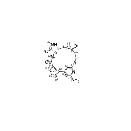 CNC(=O)[C@@H]1CCNC(=O)CCSc2cc(nc(N)n2)-c2cc(c(C)cc2C)C(=O)N1